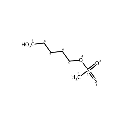 CS(=O)(=S)OCCCCC(=O)O